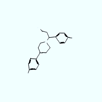 OCCC(c1ccc(Cl)cc1)N1CCC(c2ccc(Cl)cc2)CC1